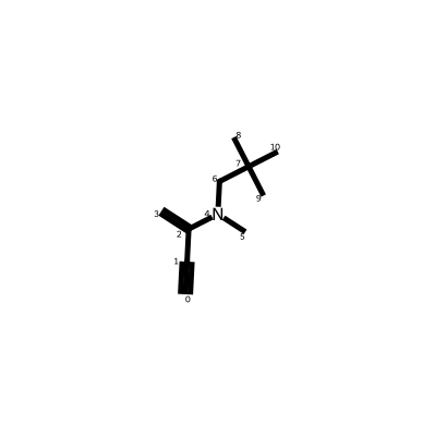 C#CC(=C)N(C)CC(C)(C)C